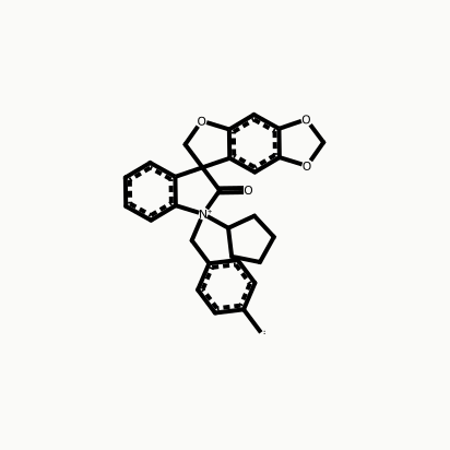 [CH]c1ccc(C[N+]2(C3CCCC3)C(=O)C3(COc4cc5c(cc43)OCO5)c3ccccc32)cc1